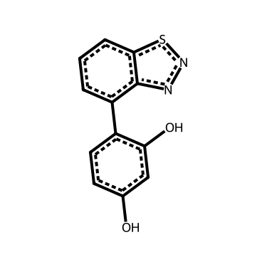 Oc1ccc(-c2cccc3snnc23)c(O)c1